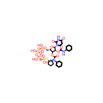 O=C(Nc1ccccc1)OC1[C@@H](COP(=O)(O)OP(=O)(O)OP(=O)(O)OP(=O)(O)SC2CCCC2)O[C@@H](n2ccc(=O)[nH]c2=O)[C@H]1OC(=O)Nc1ccccc1